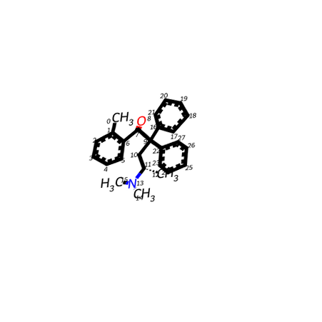 Cc1ccccc1C(=O)C(C[C@H](C)N(C)C)(c1ccccc1)c1ccccc1